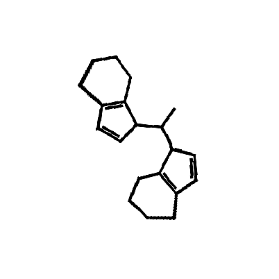 CC(C1C=CC2=C1CCCC2)C1C=CC2=C1CCCC2